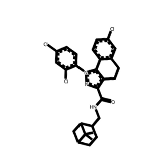 CC1(C)C2CCC(CNC(=O)c3nn(-c4ccc(Cl)cc4Cl)c4c3CCc3cc(Cl)ccc3-4)C1C2